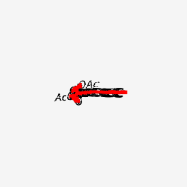 C=C=C=C=C=C=C=C=C=C=C=C=C=C=C=C=C=C=C=C=C=C=C=C=C=C=C=C=C=C=C=C=C=C=C=C(OC(=O)CCC(C)(c1ccc(OC(=C)C)cc1)c1ccc(OC(C)=O)cc1)OC(=O)CCC(C)(c1ccc(OC(=C)C)cc1)c1ccc(OC(C)=O)cc1